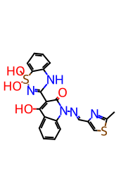 Cc1nc(C=Nn2c(=O)c(C3=NS(O)(O)c4ccccc4N3)c(O)c3ccccc32)cs1